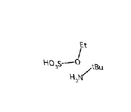 CC(C)(C)N.CCOS(=O)(=O)O